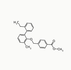 CCc1ccccc1-c1cccc(C)c1OCc1ccc(C(=O)OC)cc1